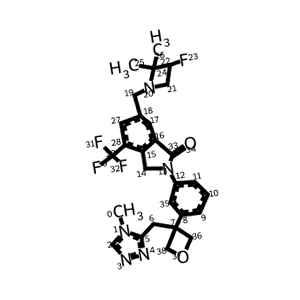 Cn1cnnc1CC1(c2cccc(N3Cc4c(cc(CN5CC(F)C5(C)C)cc4C(F)(F)F)C3=O)c2)COC1